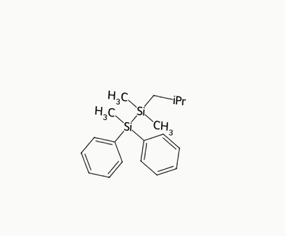 CC(C)C[Si](C)(C)[Si](C)(c1ccccc1)c1ccccc1